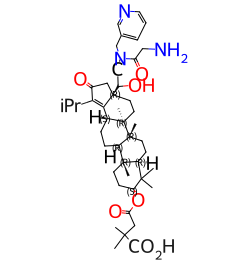 CC(C)C1=C2[C@H]3CC[C@@H]4[C@@]5(C)CC[C@H](OC(=O)CC(C)(C)C(=O)O)C(C)(C)[C@@H]5CC[C@@]4(C)[C@]3(C)CC[C@@]2(C(O)CN(Cc2cccnc2)C(=O)CN)CC1=O